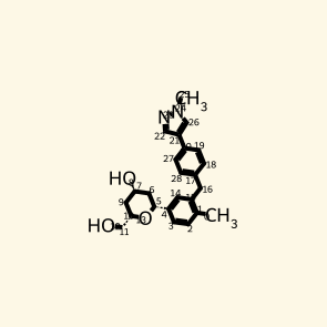 Cc1ccc([C@H]2C[C@@H](O)C[C@@H](CO)O2)cc1Cc1ccc(-c2cnn(C)c2)cc1